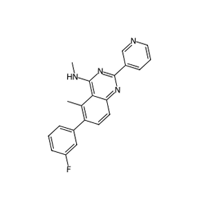 CNc1nc(-c2cccnc2)nc2ccc(-c3cccc(F)c3)c(C)c12